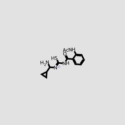 CC(=O)Nc1ccccc1C(=O)N/C(S)=N/C(N)C1CC1